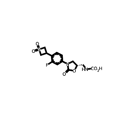 O=C(O)NC[C@H]1CN(c2ccc(C3CS(=O)(=O)C3)c(F)c2)C(=O)O1